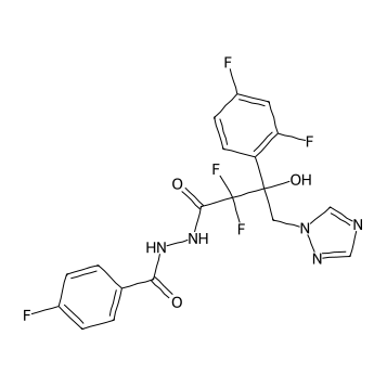 O=C(NNC(=O)C(F)(F)C(O)(Cn1cncn1)c1ccc(F)cc1F)c1ccc(F)cc1